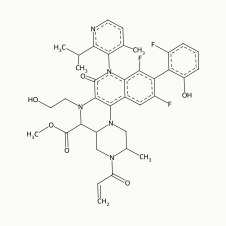 C=CC(=O)N1CC2C(C(=O)OC)N(CCO)c3c(c4cc(F)c(-c5c(O)cccc5F)c(F)c4n(-c4c(C)ccnc4C(C)C)c3=O)N2CC1C